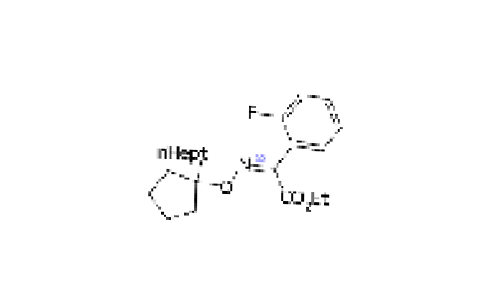 CCCCCCCC1(O/N=C(\C(=O)OCC)c2ccccc2F)CCCC1